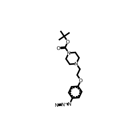 CC(C)(C)OC(=O)N1CCN(CCOc2ccc(N=[N+]=[N-])cc2)CC1